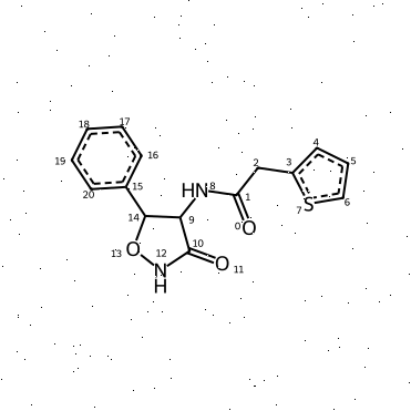 O=C(Cc1cccs1)NC1C(=O)NOC1c1ccccc1